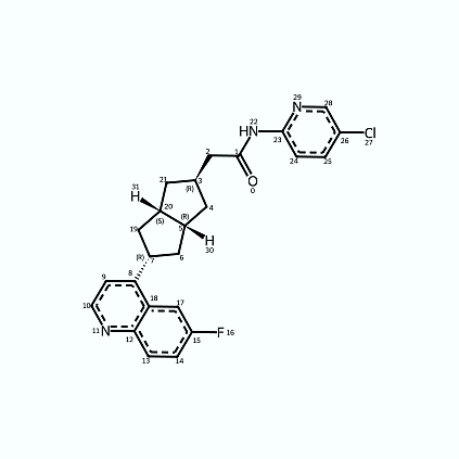 O=C(C[C@H]1C[C@@H]2C[C@H](c3ccnc4ccc(F)cc34)C[C@@H]2C1)Nc1ccc(Cl)cn1